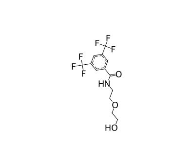 O=C(NCCOCCO)c1cc(C(F)(F)F)cc(C(F)(F)F)c1